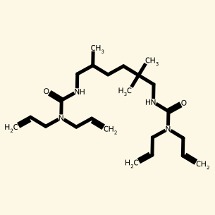 C=CCN(CC=C)C(=O)NCC(C)CCC(C)(C)CNC(=O)N(CC=C)CC=C